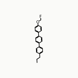 CCCc1ccc(-c2ccc(-c3ccc(OCF)cc3)cc2)cc1